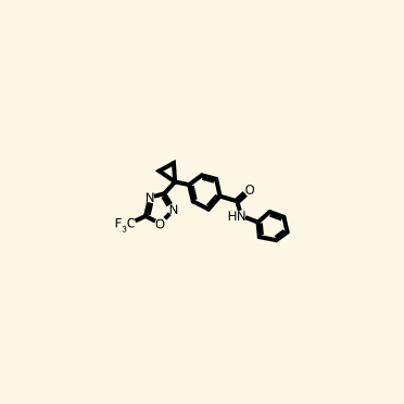 O=C(Nc1ccccc1)c1ccc(C2(c3noc(C(F)(F)F)n3)CC2)cc1